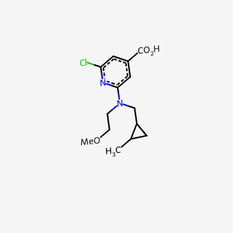 COCCN(CC1CC1C)c1cc(C(=O)O)cc(Cl)n1